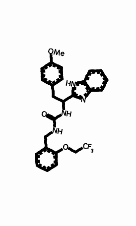 COc1ccc(CC(NC(=O)NCc2ccccc2OCC(F)(F)F)c2nc3ccccc3[nH]2)cc1